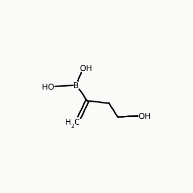 C=C(CCO)B(O)O